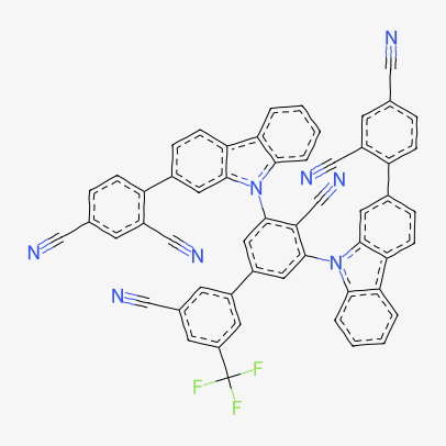 N#Cc1cc(-c2cc(-n3c4ccccc4c4ccc(-c5ccc(C#N)cc5C#N)cc43)c(C#N)c(-n3c4ccccc4c4ccc(-c5ccc(C#N)cc5C#N)cc43)c2)cc(C(F)(F)F)c1